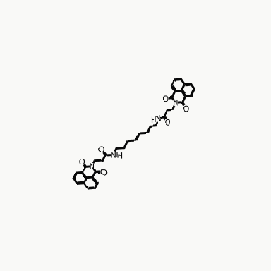 O=C(CCN1C(=O)c2cccc3cccc(c23)C1=O)NCCCCCCCCNC(=O)CCN1C(=O)c2cccc3cccc(c23)C1=O